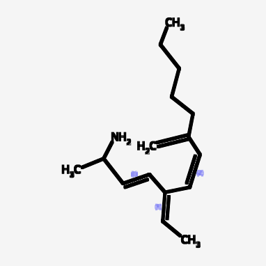 C=C(\C=C/C(/C=C/C(C)N)=C\C)CCCCC